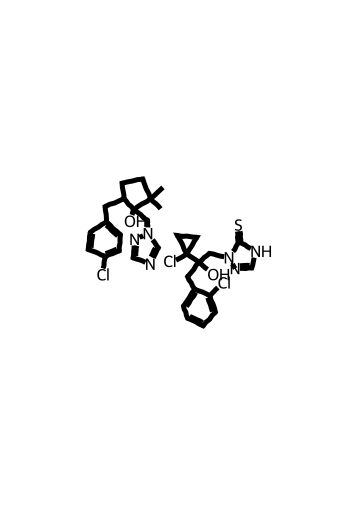 CC1(C)CCC(Cc2ccc(Cl)cc2)C1(O)Cn1cncn1.OC(Cc1ccccc1Cl)(Cn1nc[nH]c1=S)C1(Cl)CC1